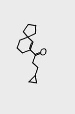 O=C(CCC1CC1)C1=CC2(CCCC2)CCC1